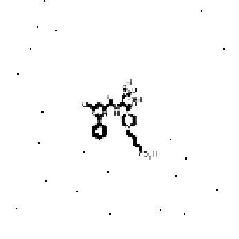 CCOP(=O)(C[C@H](NC(=O)c1cc(Cl)nc(-c2ccccc2)n1)C(=O)N1CCN(CCCCC(=O)O)CC1)OCC